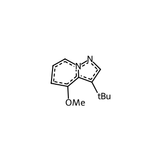 COc1cccn2ncc(C(C)(C)C)c12